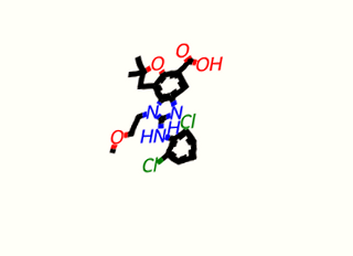 COCCN1c2c(cc(C(=O)O)c3c2CC(C)(C)O3)NC1Nc1c(Cl)cccc1Cl